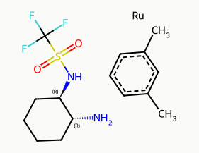 Cc1cccc(C)c1.N[C@@H]1CCCC[C@H]1NS(=O)(=O)C(F)(F)F.[Ru]